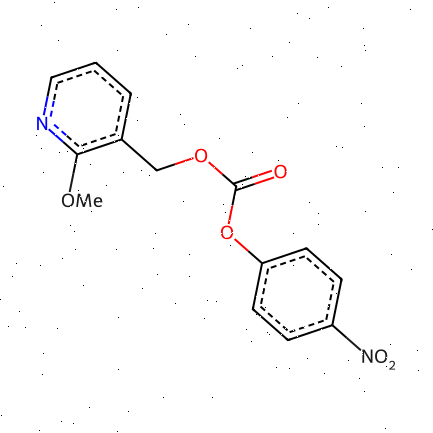 COc1ncccc1COC(=O)Oc1ccc([N+](=O)[O-])cc1